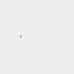 O=S(=O)([O-])OOS(=O)(=O)[O-].O=S(=O)([O-])[O-].[Cu+2].[K+].[K+]